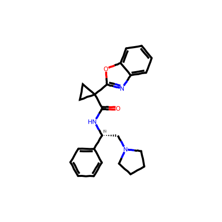 O=C(N[C@H](CN1CCCC1)c1ccccc1)C1(c2nc3ccccc3o2)CC1